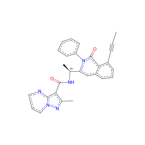 CC#Cc1cccc2cc([C@H](C)NC(=O)c3c(C)nn4cccnc34)n(-c3ccccc3)c(=O)c12